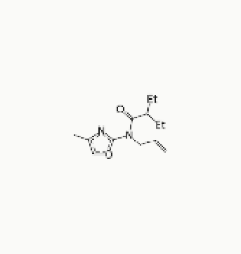 C=CCN(C(=O)C(CC)CC)c1nc(C)co1